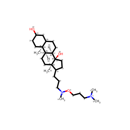 CN(C)CCCON(C)CCCC1CC[C@@]2(O)[C@@H]3CCC4CC(O)CC[C@]4(C)[C@@H]3CC[C@]12C